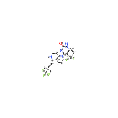 CC(C)(C#Cc1nccc2c1CCCN2c1nc(=O)[nH]c2ccc(F)c(F)c12)C(F)(F)F